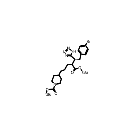 CC(C)(C)OC(=O)[C@@H](CCCC1CCN(C(=O)OC(C)(C)C)CC1)[C@H](Cc1ccc(Br)cc1)c1nnn[nH]1